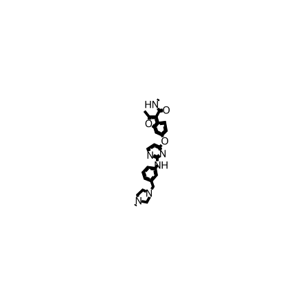 CNC(=O)c1c(C)oc2cc(Oc3ccnc(Nc4cccc(CN5CCN(C)CC5)c4)n3)ccc12